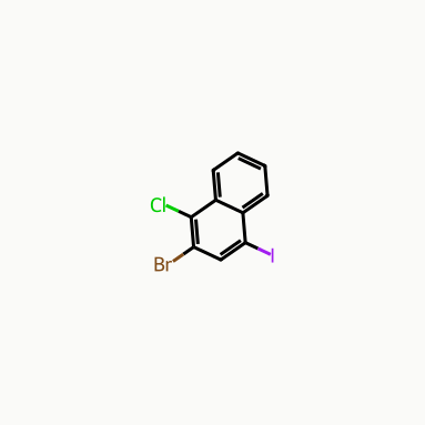 Clc1c(Br)cc(I)c2ccccc12